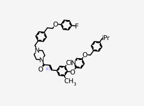 Cc1cc(/C=C/C(=O)N2CCN(Cc3ccc(CCOc4ccc(F)cc4)cc3)CC2)cc(Cl)c1Oc1ccc(OCc2ccc(C(C)C)cc2)cn1